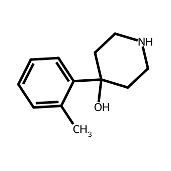 Cc1ccccc1C1(O)CCNCC1